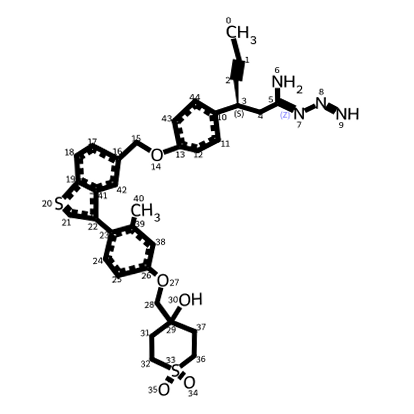 CC#C[C@@H](C/C(N)=N/N=N)c1ccc(OCc2ccc3scc(-c4ccc(OCC5(O)CCS(=O)(=O)CC5)cc4C)c3c2)cc1